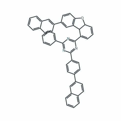 C1=CC2Oc3ccc(-c4ccc5ccccc5c4)cc3C2C(c2nc(-c3ccccc3)nc(-c3ccc(-c4ccc5ccccc5c4)cc3)n2)=C1